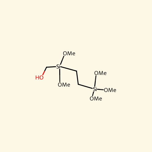 CO[Si](CO)(CC[Si](OC)(OC)OC)OC